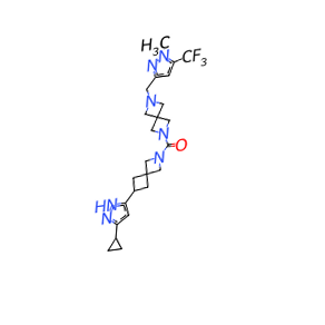 Cn1nc(CN2CC3(C2)CN(C(=O)N2CC4(CC(c5cc(C6CC6)n[nH]5)C4)C2)C3)cc1C(F)(F)F